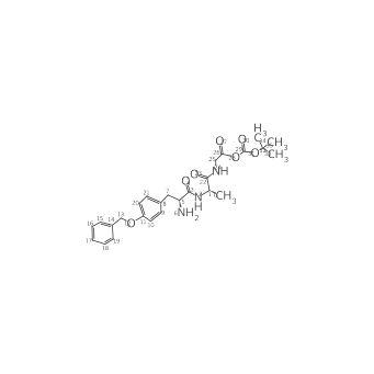 C[C@@H](NC(=O)[C@@H](N)Cc1ccc(OCc2ccccc2)cc1)C(=O)NCC(=O)OC(=O)OC(C)(C)C